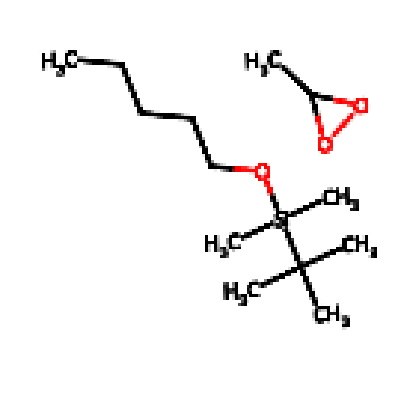 CC1OO1.CCCCCO[Si](C)(C)C(C)(C)C